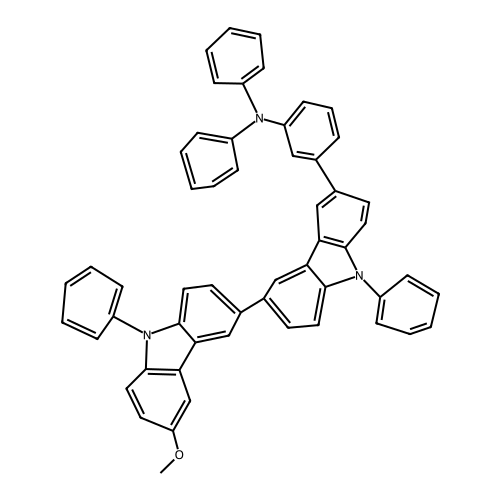 COc1ccc2c(c1)c1cc(-c3ccc4c(c3)c3cc(-c5cccc(N(c6ccccc6)c6ccccc6)c5)ccc3n4-c3ccccc3)ccc1n2-c1ccccc1